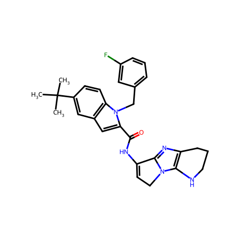 CC(C)(C)c1ccc2c(c1)cc(C(=O)NC1=CCn3c1nc1c3NCCC1)n2Cc1cccc(F)c1